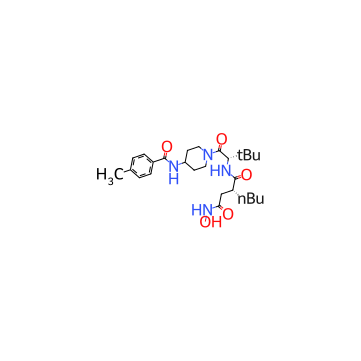 CCCC[C@H](CC(=O)NO)C(=O)N[C@H](C(=O)N1CCC(NC(=O)c2ccc(C)cc2)CC1)C(C)(C)C